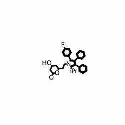 CC(C)c1c(-c2ccccc2)c(-c2ccccc2)c(-c2ccc(F)cc2)n1CC[C@@H]1C[C@@H](O)CC(=O)O1